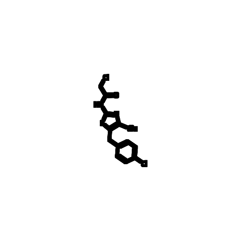 CC(C)(C)c1nc(NC(=O)CCl)sc1Cc1ccc(Cl)cc1